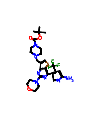 CC(C)(C)OC(=O)N1CCN(Cc2csc3c(-c4cnc(N)cc4C(F)(F)F)nc(N4CCOCC4)nc23)CC1